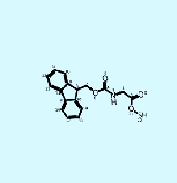 O=C(CNC(=O)OCC1c2ccccc2-c2ccccc21)OS